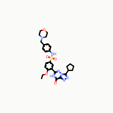 CCOc1ccc(S(=O)(=O)Nc2ccc(CN3CCOCC3)cc2)cc1-c1nn2c(C3CCCC3)nnc2c(=O)[nH]1